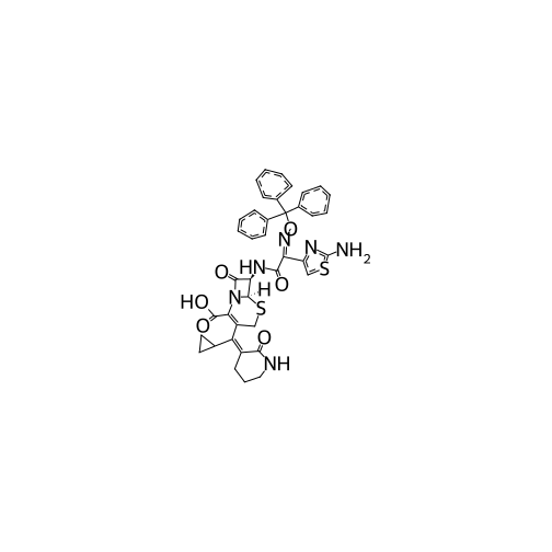 Nc1nc(C(=NOC(c2ccccc2)(c2ccccc2)c2ccccc2)C(=O)N[C@@H]2C(=O)N3C(C(=O)O)=C(C(=C4CCCNC4=O)C4CC4)CS[C@H]23)cs1